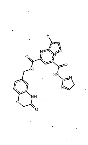 O=C1COc2ccc(CNC(=O)c3cc(C(=O)NC4=NCC=N4)n4ncc(F)c4n3)cc2N1